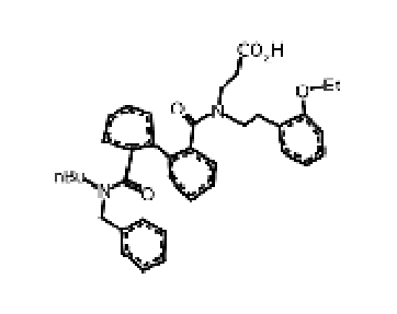 CCCCN(Cc1ccccc1)C(=O)c1ccccc1-c1ccccc1C(=O)N(CCC(=O)O)CCc1ccccc1OCC